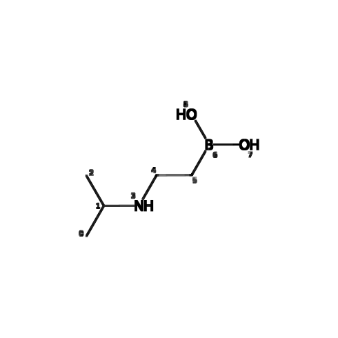 CC(C)NCCB(O)O